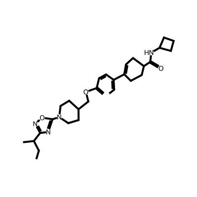 C=C(/C=C\C(=C/C)C1=CCC(C(=O)NC2CCC2)CC1)OCC1CCN(c2nc(C(C)CC)no2)CC1